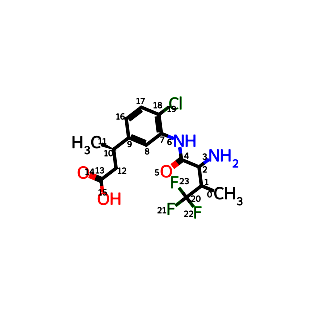 CC(C(N)C(=O)Nc1cc([C@H](C)CC(=O)O)ccc1Cl)C(F)(F)F